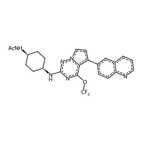 CC(=O)N[C@H]1CC[C@@H](Nc2nc(OC(F)(F)F)c3c(-c4ccc5ncccc5c4)ccn3n2)CC1